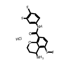 Cl.NC1CCOc2c(C(=O)Nc3ccc(F)c(F)c3)ccc(SF)c21